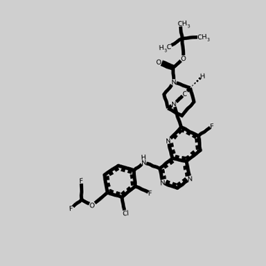 CC(C)(C)OC(=O)N1CC2CC[C@H]1CN2c1nc2c(Nc3ccc(OC(F)F)c(Cl)c3F)ncnc2cc1F